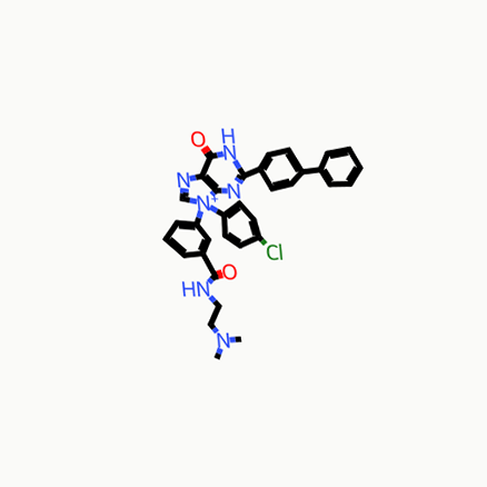 CN(C)CCNC(=O)c1cccc([N+]2(c3ccc(Cl)cc3)C=Nc3c2nc(-c2ccc(-c4ccccc4)cc2)[nH]c3=O)c1